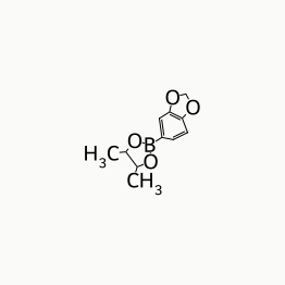 CC1OB(c2ccc3c(c2)OCO3)OC1C